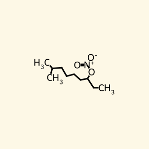 CCC(CCCCC(C)C)O[N+](=O)[O-]